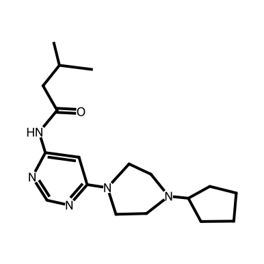 CC(C)CC(=O)Nc1cc(N2CCN(C3CCCC3)CC2)ncn1